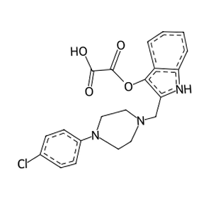 O=C(O)C(=O)Oc1c(CN2CCN(c3ccc(Cl)cc3)CC2)[nH]c2ccccc12